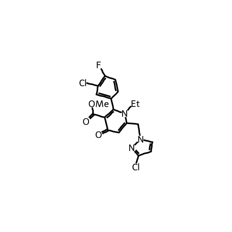 CCn1c(Cn2ccc(Cl)n2)cc(=O)c(C(=O)OC)c1-c1ccc(F)c(Cl)c1